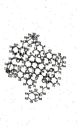 Cc1ccccc1Oc1cc2c3c(cc(Oc4ccccc4C)c4c5c(Oc6ccccc6C)cc6c7c(cc(Oc8ccccc8C)c(c1c34)c75)C(=O)N(c1c(CCCCC3CC4CCCC(C3)C4)cccc1CCC13CC4CC(CC(C4)C1)C3)C6O)C(=O)N(c1c(CCC34CC5CC(CC(C5)C3)C4)cccc1CCC13CC4CC(CC(C4)C1)C3)C2=O